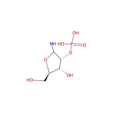 [NH]C1O[C@H](CO)[C@@H](O)[C@H]1OP(=O)(O)O